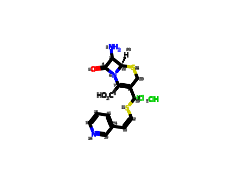 Cl.Cl.NC1C(=O)N2C(C(=O)O)=C(CS/C=C\c3cccnc3)CS[C@H]12